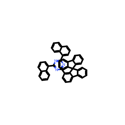 c1ccc2c(c1)-c1ccccc1C21c2ccccc2-c2cccc(-c3nc(-c4cccc5ccccc45)nc(-c4cccc5ccccc45)n3)c21